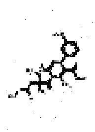 COC(=O)C1=C(C)N(C(=O)C(C)(CN)CC(=O)OC(C)(C)C)C(C)=CC1c1cccc(OC)c1